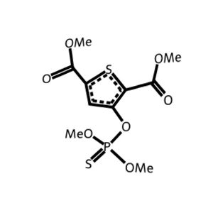 COC(=O)c1cc(OP(=S)(OC)OC)c(C(=O)OC)s1